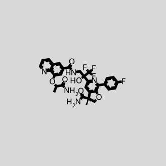 CC(Oc1cc(C(=O)NCC(O)(c2cc3c(c(-c4ccc(F)cc4)n2)OC[C@]3(C)C(N)=O)C(F)(F)F)cc2cccnc12)C(N)=O